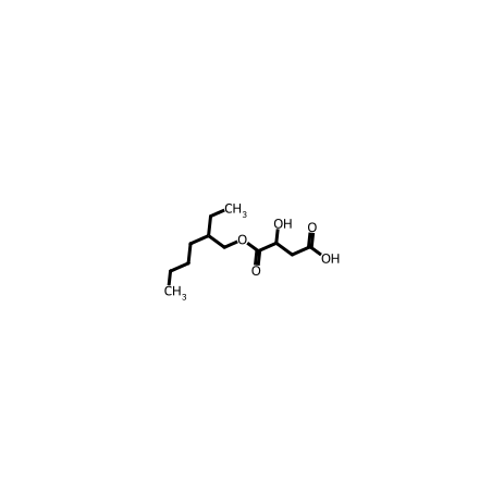 CCCCC(CC)COC(=O)C(O)CC(=O)O